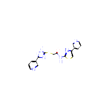 O=C(CSc1nc(-c2cccnc2)n[nH]1)Nc1nc(-c2cccnc2)cs1